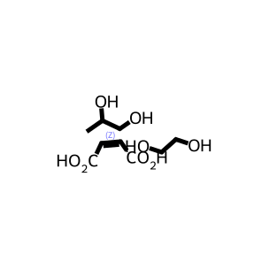 CC(O)CO.O=C(O)/C=C\C(=O)O.OCCO